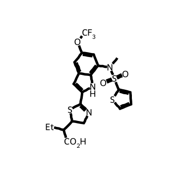 CCC(C(=O)O)C1CN=C(c2cc3cc(OC(F)(F)F)cc(N(C)S(=O)(=O)c4cccs4)c3[nH]2)S1